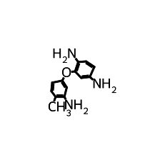 Cc1ccc(Oc2cc(N)ccc2N)cc1N